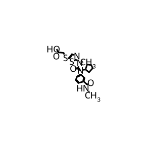 CCNC(=O)c1cccc(N(C(=O)N(C)c2ncc(SCC(=O)O)s2)C2CCCC2)c1